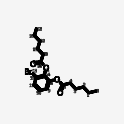 CCCCCC(=O)Oc1cccc(Br)c1OC(=O)CCCCC